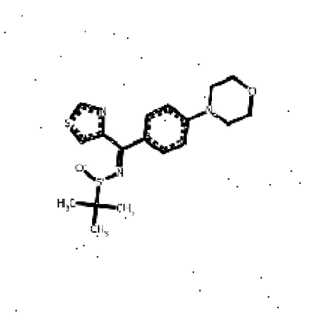 CC(C)(C)[S+]([O-])N=C(c1ccc(N2CCOCC2)cc1)c1cscn1